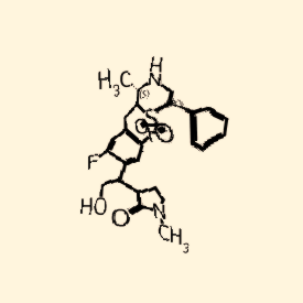 C[C@@H]1NC[C@@H](c2ccccc2)S(=O)(=O)C1Cc1cc(F)c(C(CO)C2CCN(C)C2=O)cc1F